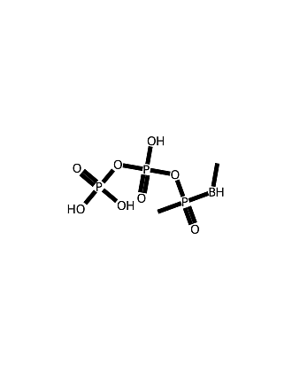 CBP(C)(=O)OP(=O)(O)OP(=O)(O)O